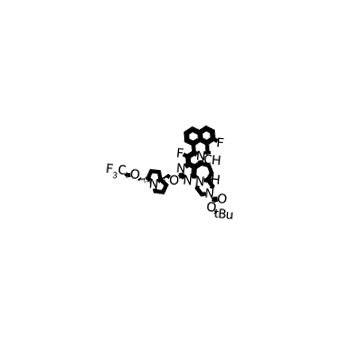 C#Cc1c(F)ccc2cccc(-c3nc4c5c(nc(OC[C@@]67CCCN6[C@H](COCC(F)(F)F)CC7)nc5c3F)N3CCN(C(=O)OC(C)(C)C)C[C@H]3CC4)c12